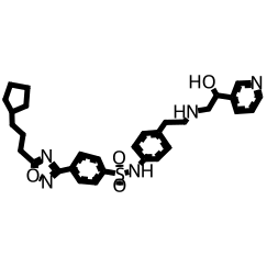 O=S(=O)(Nc1ccc(CCNCC(O)c2cccnc2)cc1)c1ccc(-c2noc(CCCC3CCCC3)n2)cc1